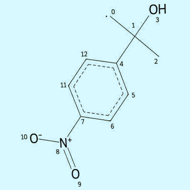 [CH2]C(C)(O)c1ccc([N+](=O)[O-])cc1